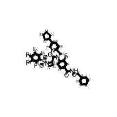 O=C(NOCc1ccccc1)c1ccc(N(Cc2ccc(C3CCCC3)cn2)C(=O)C2CCN2S(=O)(=O)c2c(F)c(F)c(F)c(F)c2F)c(F)c1